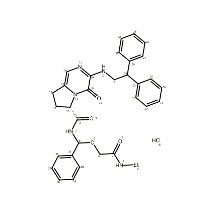 CCNC(=O)COC(NC(=O)[C@@H]1CCc2cnc(NCC(c3ccccc3)c3ccccc3)c(=O)n21)c1ccccc1.Cl